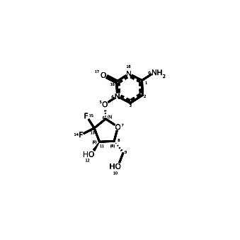 Nc1ccn(O[C@@H]2O[C@H](CO)[C@@H](O)C2(F)F)c(=O)n1